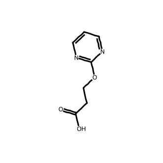 O=C(O)CCOc1ncccn1